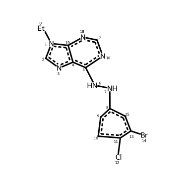 CCn1cnc2c(NNc3ccc(Cl)c(Br)c3)ncnc21